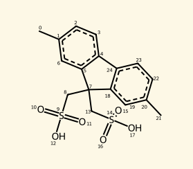 Cc1ccc2c(c1)C(CS(=O)(=O)O)(CS(=O)(=O)O)c1cc(C)ccc1-2